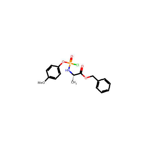 COc1ccc(OP(=O)(Cl)N[C@@H](C)C(=O)OCc2ccccc2)cc1